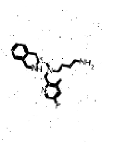 Cc1cc(F)cnc1CN(CCCCN)C[C@H]1Cc2ccccc2CN1